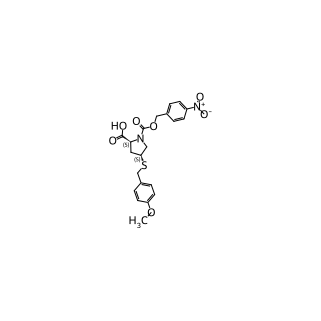 COc1ccc(CS[C@H]2C[C@@H](C(=O)O)N(C(=O)OCc3ccc([N+](=O)[O-])cc3)C2)cc1